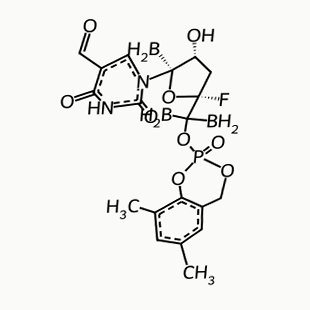 BC(B)(OP1(=O)OCc2cc(C)cc(C)c2O1)[C@]1(F)C[C@@H](O)[C@](B)(n2cc(C=O)c(=O)[nH]c2=O)O1